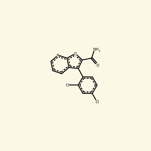 NC(=O)c1oc2ncccc2c1-c1ccc(Cl)cc1Cl